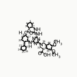 COc1ccccc1NC(=O)Nc1nc(Nc2ccccc2-c2ccccc2)nc(N(CCC(=O)O)Cc2ccc(OC)c(OC)c2)n1